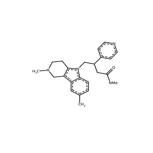 CNC(=O)CC(Cn1c2c(c3cc(C)ccc31)CN(C)CC2)c1ccncc1